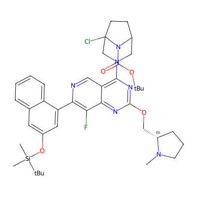 CN1CCC[C@H]1COc1nc(N2CC3CCC(Cl)(C2)N3C(=O)OC(C)(C)C)c2cnc(-c3cc(O[Si](C)(C)C(C)(C)C)cc4ccccc34)c(F)c2n1